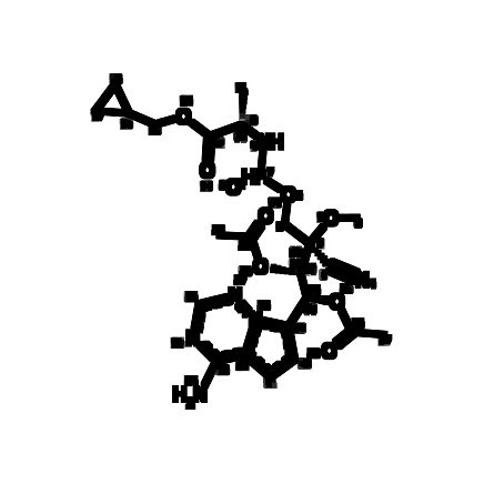 CO[C@](C#N)(CO[PH](=O)N[C@@H](C)C(=O)OCC1CC1)[C@@H](OC(C)=O)[C@@H](OC(C)=O)c1ccc2c(N)ncnn12